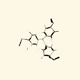 C=Cc1c(F)c(F)c(C(C2=C(F)C(F)C(C=C)C(F)=C2F)c2c(F)c(F)c(C=C)c(F)c2F)c(F)c1F